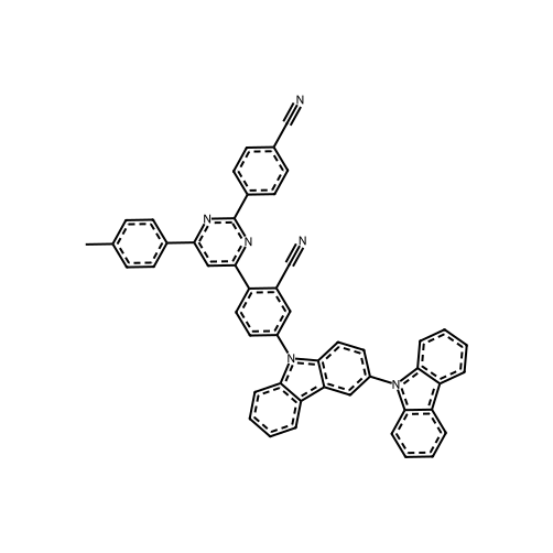 Cc1ccc(-c2cc(-c3ccc(-n4c5ccccc5c5cc(-n6c7ccccc7c7ccccc76)ccc54)cc3C#N)nc(-c3ccc(C#N)cc3)n2)cc1